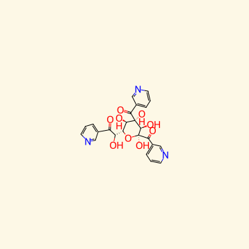 O=C(c1cccnc1)C(O)[C@H]1O[C@](O)(C(=O)c2cccnc2)[C@H](O)[C@](O)(C(=O)c2cccnc2)[C@@H]1O